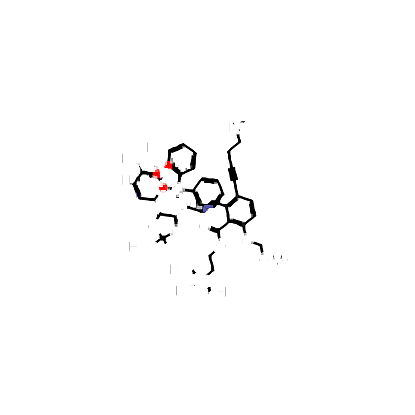 CCNCCC#Cc1ccc(OCOC)c(C(=O)OCC[Si](C)(C)C)c1/C=C/C[C@@H]1OC(C)(C)O[C@@H]1C(/C=C\[C@@H](C)[C@H](C)O[Si](c1ccccc1)(c1ccccc1)C(C)(C)C)O[Si](C)(C)C(C)(C)C